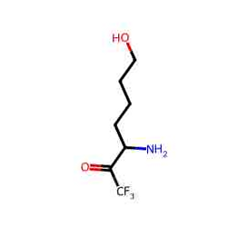 NC(CCCCO)C(=O)C(F)(F)F